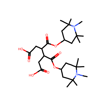 CN1C(C)(C)CC(OC(=O)C(CC(=O)O)C(CC(=O)O)C(=O)OC2CC(C)(C)N(C)C(C)(C)C2)CC1(C)C